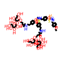 CCOc1ccc(/C=N/N(C)[PH](=S)Oc2ccc(/C=N/N(C)P(=S)(Oc3ccc(CCNC(C)(C)C(=O)CCOC4OC(CO)C(O)C(O)C4OC4OC(CO)C(O)C(O)C4O)cc3)Oc3ccc(CCNC(C)(C)C(=O)CCOC4OC(CO)C(O)C(O)C4OC4OC(CO)C(O)C(O)C4O)cc3)cc2)cc1